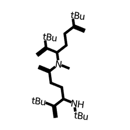 C=C(CCC(NC(C)(C)C)C(=C)C(C)(C)C)N(C)C(CCC(=C)C(C)(C)C)C(=C)C(C)(C)C